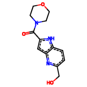 O=C(c1cc2nc(CO)ccc2[nH]1)N1CCOCC1